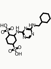 O=S(=O)(O)C1CCC(S(=O)(=O)O)C(Nc2ncnc(NCC3CCCCC3)n2)C1